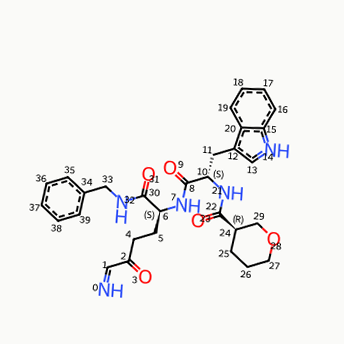 N=CC(=O)CC[C@H](NC(=O)[C@H](Cc1c[nH]c2ccccc12)NC(=O)[C@@H]1CCCOC1)C(=O)NCc1ccccc1